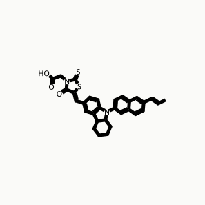 CC=Cc1ccc2cc(N3c4ccc(/C=C5\SC(=S)N(CC(=O)O)C5=O)cc4C4CCCCC43)ccc2c1